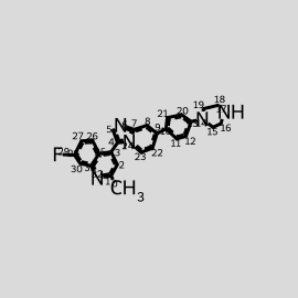 Cc1cc(-c2cnc3cc(-c4ccc(N5CCNCC5)cc4)ccn23)c2ccc(F)cc2n1